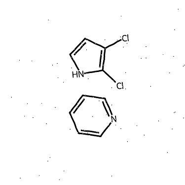 Clc1cc[nH]c1Cl.c1ccncc1